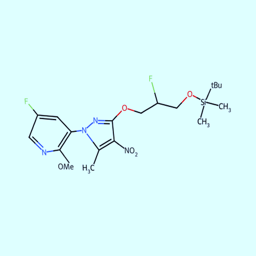 COc1ncc(F)cc1-n1nc(OCC(F)CO[Si](C)(C)C(C)(C)C)c([N+](=O)[O-])c1C